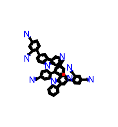 N#Cc1cc(C#N)cc(-c2c(-n3c4ccccc4c4cc(-c5ccc(C#N)cc5C#N)ccc43)cc(C#N)cc2-n2c3ccccc3c3cc(-c4ccc(C#N)cc4C#N)ccc32)c1